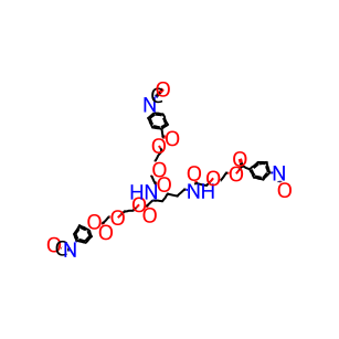 O=C=Nc1ccc(OC(=O)COCCOC(=O)C(CCCCNC(=O)COCCOC(=O)c2ccc(N=C=O)cc2)NC(=O)COCCOC(=O)c2ccc(N=C=O)cc2)cc1